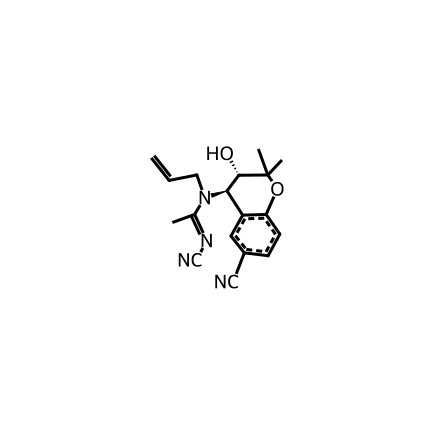 C=CCN(C(C)=NC#N)[C@@H]1c2cc(C#N)ccc2OC(C)(C)[C@H]1O